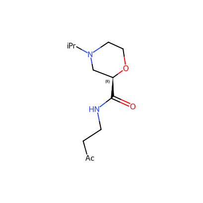 CC(=O)CCNC(=O)[C@H]1CN(C(C)C)CCO1